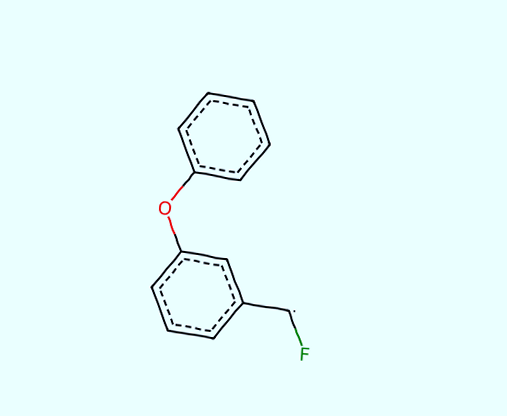 F[CH]c1cccc(Oc2ccccc2)c1